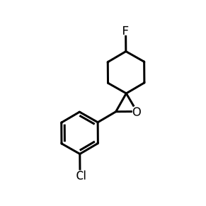 FC1CCC2(CC1)OC2c1cccc(Cl)c1